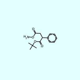 CC(C)(C)OC(=O)C(CC(=O)ON)c1ccccc1